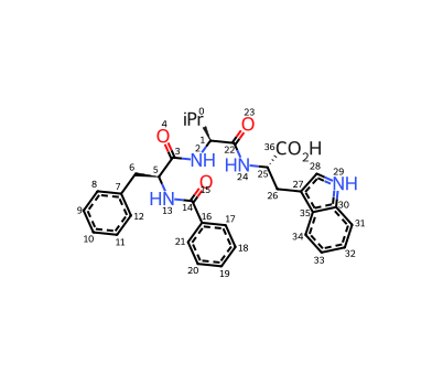 CC(C)[C@H](NC(=O)[C@H](Cc1ccccc1)NC(=O)c1ccccc1)C(=O)N[C@@H](Cc1c[nH]c2ccccc12)C(=O)O